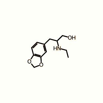 CCNC(CO)Cc1ccc2c(c1)OCO2